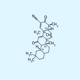 C[C@@H]1C(=O)C(C#N)=C[C@]2(C)C3=CC(=O)C4[C@H]5CC(C)(C)CCC5CC[C@@]4(C)[C@]3(C)CC[C@@H]12